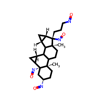 C[C@]12CCC3C(C1[C@@H]1C[C@@H]1[C@]2(CCCN=O)N=O)[C@H]1C[C@H]1[C@]1(N=O)C[C@@H](N=O)CC[C@]31C